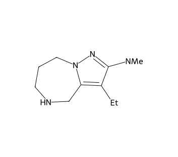 CCc1c(NC)nn2c1CNCCC2